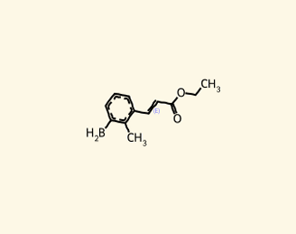 Bc1cccc(/C=C/C(=O)OCC)c1C